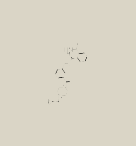 O=CC1NN=C(OCc2cccc(C(=O)N3CCN(C(=O)C4CC4)CC3)c2)c2ccccc21